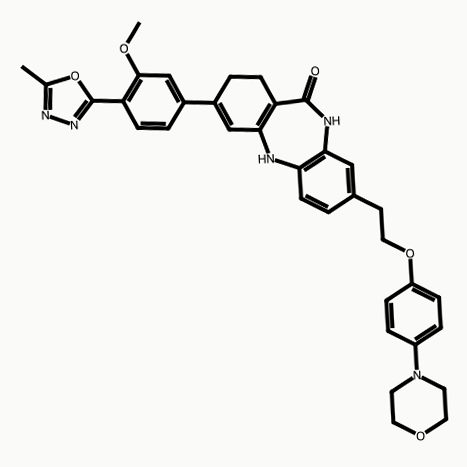 COc1cc(C2=CC3=C(CC2)C(=O)Nc2cc(CCOc4ccc(N5CCOCC5)cc4)ccc2N3)ccc1-c1nnc(C)o1